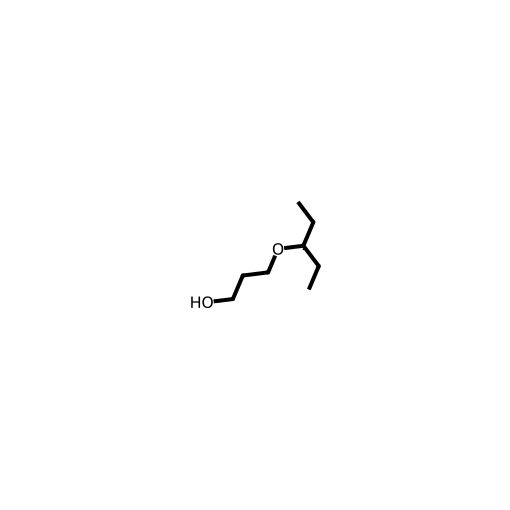 CC[C](CC)OCCCO